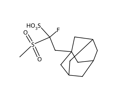 CS(=O)(=O)C(F)(CC12CC3CC(CC(C3)C1)C2)S(=O)(=O)O